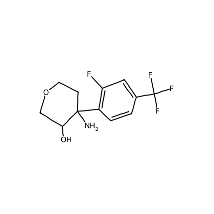 NC1(c2ccc(C(F)(F)F)cc2F)CCOCC1O